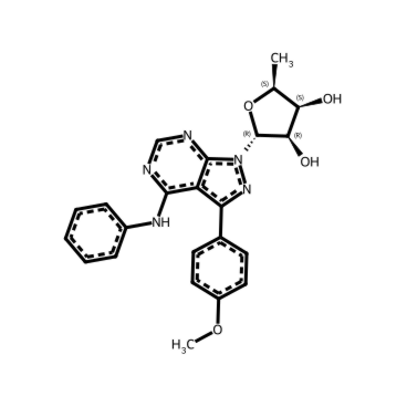 COc1ccc(-c2nn([C@@H]3O[C@@H](C)[C@@H](O)[C@H]3O)c3ncnc(Nc4ccccc4)c23)cc1